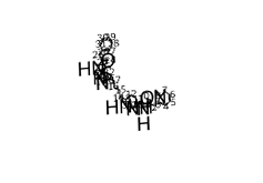 O=C(Cc1ccccn1)NC1=CC=C(CCCCc2nnc(NC(=O)Cc3ccccc3)s2)NN1